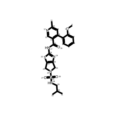 COc1ccccc1-c1cc(C)ncc1C(=O)Nc1nc2c(s1)CN(S(=O)(=O)NCC(C)C)C2